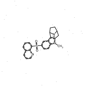 Cn1c2c(c3cc(S(=O)(=O)c4cccc5cccnc45)ccc31)C1CCC(C2)N1